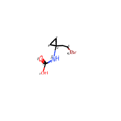 O=C(O)NC1(CBr)CC1